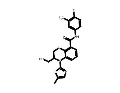 Cc1cnc(N2c3cccc(C(=O)Nc4ccc(F)c(C(F)(F)F)c4)c3OCC2CO)s1